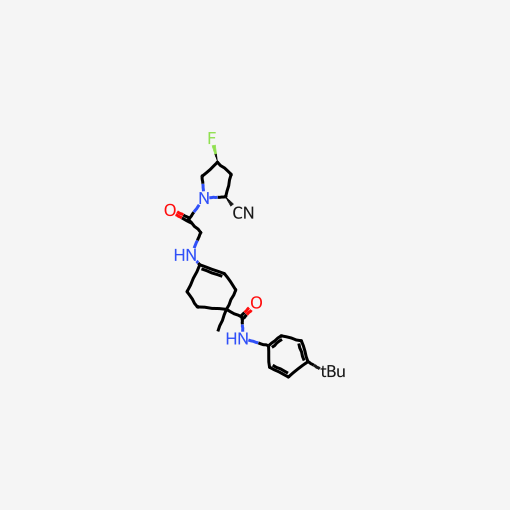 CC1(C(=O)Nc2ccc(C(C)(C)C)cc2)CC=C(NCC(=O)N2C[C@@H](F)C[C@H]2C#N)CC1